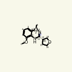 COc1cccc(OC)c1N/C(=N\N)[C@H]1CCOC1